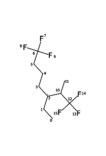 CC[C](CCCC(F)(F)F)C(C)C(F)(F)F